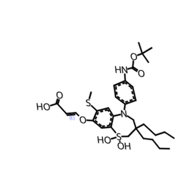 CCCCC1(CCCC)CN(c2ccc(NC(=O)OC(C)(C)C)cc2)c2cc(SC)c(O/C=C/C(=O)O)cc2S(O)(O)C1